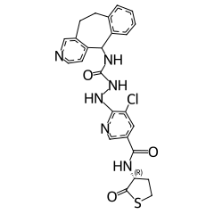 O=C(NNc1ncc(C(=O)N[C@@H]2CCSC2=O)cc1Cl)NC1c2ccccc2CCc2cnccc21